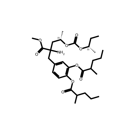 CCCC(C)C(=O)Oc1ccc(CC(N)(C[C@H](C)OC(=O)O[C@@H](C)CC)C(=O)OC)cc1OC(=O)C(C)CCC